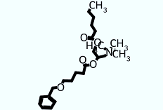 CCCCCC(=O)OCC(C[N+](C)(C)C)OC(=O)CCCCOCc1ccccc1